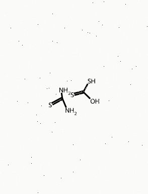 NC(N)=S.OC(=S)S